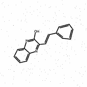 Oc1nc2ccccc2nc1/C=C/c1ccccc1